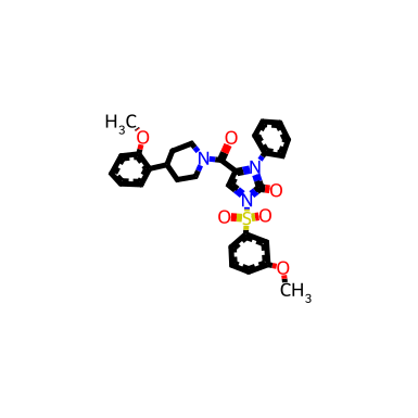 COc1cccc(S(=O)(=O)n2cc(C(=O)N3CCC(c4ccccc4OC)CC3)n(-c3ccccc3)c2=O)c1